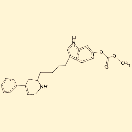 COC(=O)Oc1ccc2c(CCCCC3CC(c4ccccc4)=CCN3)c[nH]c2c1